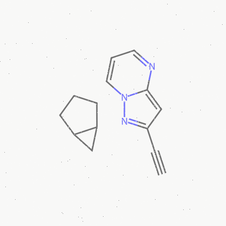 C#Cc1cc2ncccn2n1.C1CC2CC2C1